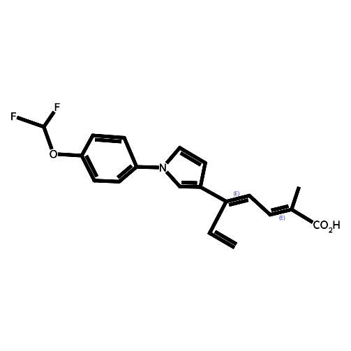 C=C/C(=C\C=C(/C)C(=O)O)c1ccn(-c2ccc(OC(F)F)cc2)c1